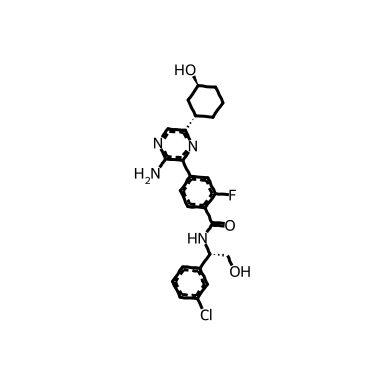 Nc1ncc([C@H]2CCC[C@H](O)C2)nc1-c1ccc(C(=O)N[C@H](CO)c2cccc(Cl)c2)c(F)c1